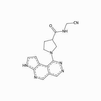 N#CCNC(=O)C1CCN(c2nncc3cnc4[nH]ccc4c23)C1